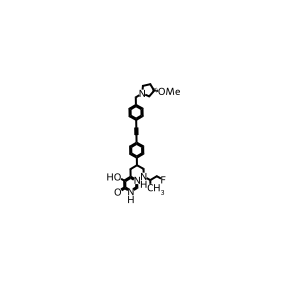 CO[C@@H]1CCN(Cc2ccc(C#Cc3ccc(C(CNC(C)CF)Cc4nc[nH]c(=O)c4O)cc3)cc2)C1